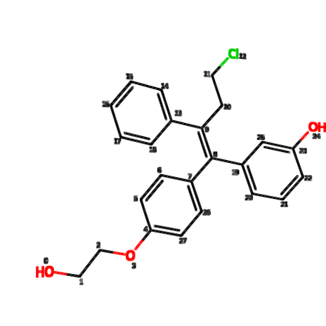 OCCOc1ccc(C(=C(CCCl)c2ccccc2)c2cccc(O)c2)cc1